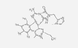 [2H]c1c([2H])c([2H])c(-c2nc(N)[n+]3c(=O)n(Cc4nccn4C)[nH]c3c2-c2cc(C)nc(CO)c2)c([2H])c1[2H]